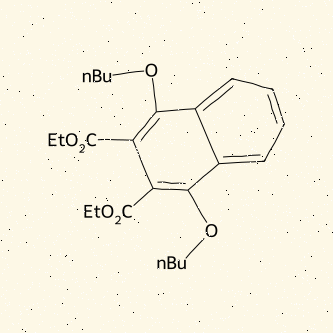 CCCCOc1c(C(=O)OCC)c(C(=O)OCC)c(OCCCC)c2ccccc12